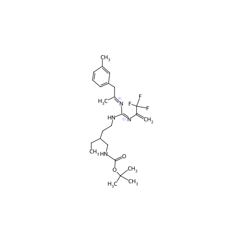 C=C(/N=C(\N=C(/C)Cc1cccc(C)c1)NCCC(CC)CNC(=O)OC(C)(C)C)C(F)(F)F